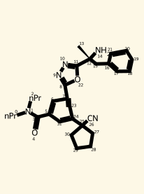 CCCN(CCC)C(=O)c1cc(-c2nnc([C@](C)(N)Cc3ccccc3)o2)cc(C2(C#N)CCCC2)c1